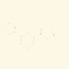 CC(C)(C)NC(=O)c1cncc(-n2ccnc2)n1